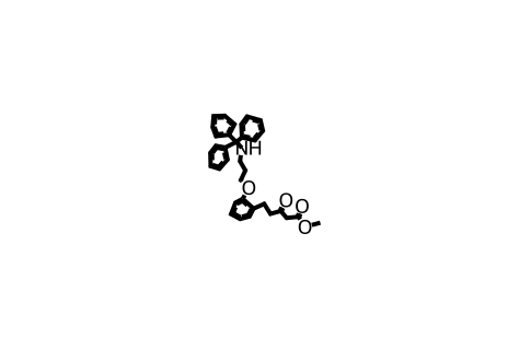 COC(=O)CC(=O)CCc1ccccc1OCCCNC(c1ccccc1)(c1ccccc1)c1ccccc1